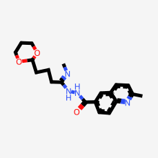 CN=C(CCCC1OCCCO1)NNC(=O)c1ccc2nc(C)ccc2c1